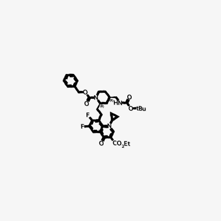 CCOC(=O)c1cn(C2CC2)c2c(CC[C@@H]3C[C@H](CNC(=O)OC(C)(C)C)CCN3C(=O)OCc3ccccc3)c(F)c(F)cc2c1=O